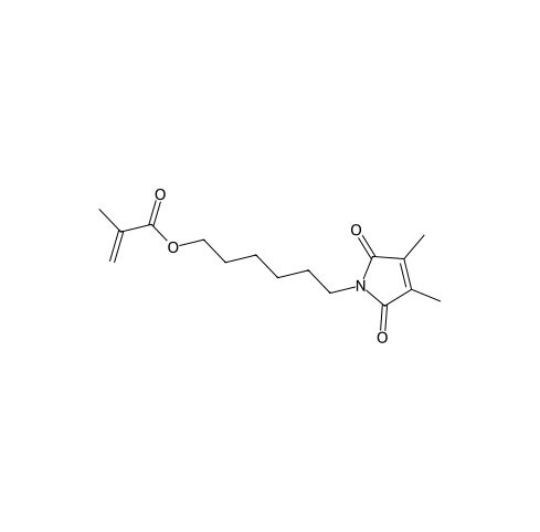 C=C(C)C(=O)OCCCCCCN1C(=O)C(C)=C(C)C1=O